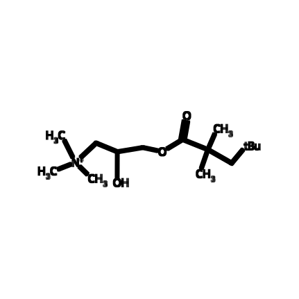 CC(C)(C)CC(C)(C)C(=O)OCC(O)C[N+](C)(C)C